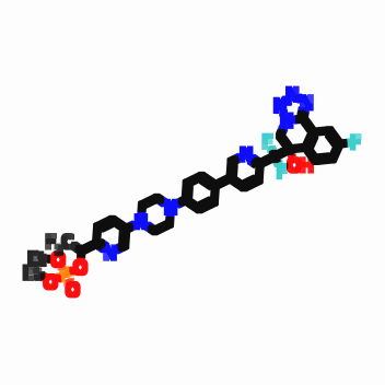 CCOP(=O)(OCC)OC(c1ccc(N2CCN(c3ccc(-c4ccc(C(F)(F)[C@]5(O)Cn6nnnc6-c6cc(F)ccc65)nc4)cc3)CC2)cn1)C(F)(F)F